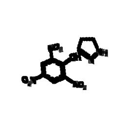 C1=NNCC1.O=[N+]([O-])c1cc([N+](=O)[O-])c(O)c([N+](=O)[O-])c1